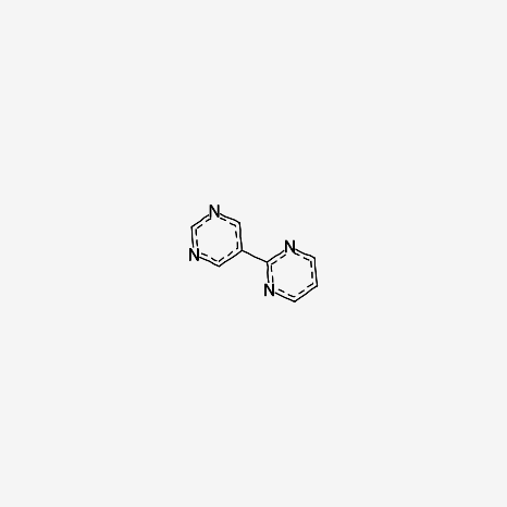 c1cnc(-c2cncnc2)nc1